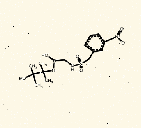 CC(C)(O)C(C)(C)OB(O)CNS(=O)(=O)Cc1cccc([N+](=O)[O-])c1